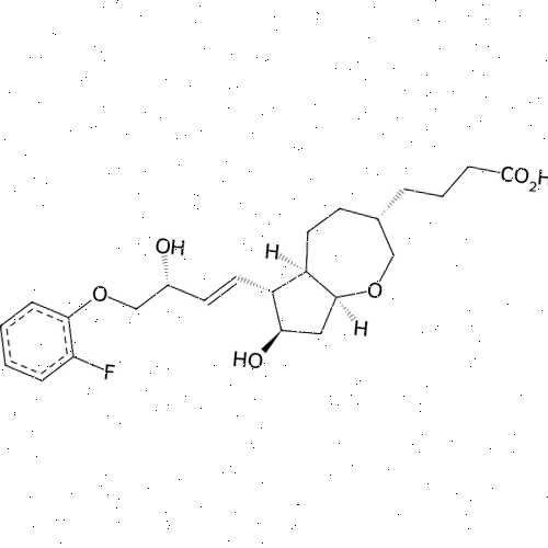 O=C(O)CCC[C@H]1CC[C@@H]2[C@@H](/C=C/[C@@H](O)COc3ccccc3F)[C@H](O)C[C@@H]2OC1